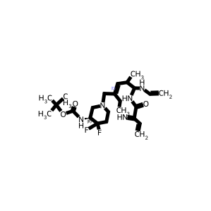 C=CNC(NC(=O)C(=N)C=C)C(C)/C=C(\CC)CN1CCC(F)(F)[C@H](NC(=O)OC(C)(C)C)C1